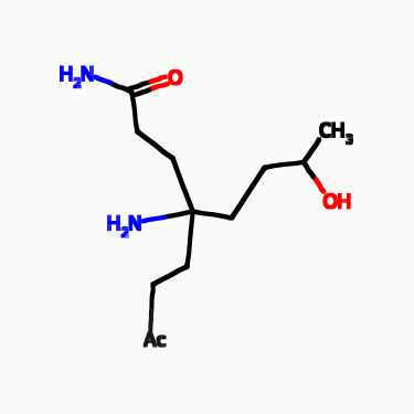 CC(=O)CCC(N)(CCC(N)=O)CCC(C)O